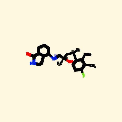 CC[C@H](C[C@@](O)(/C=N/c1cccc2c(=O)[nH]ccc12)C(F)(F)F)c1ccc(F)c(C)c1OC